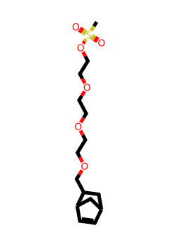 CS(=O)(=O)OCCOCCOCCOCC1CC2C=CC1C2